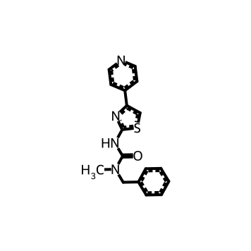 CN(Cc1ccccc1)C(=O)Nc1nc(-c2ccncc2)cs1